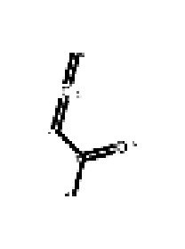 C=C=CC(C)=O